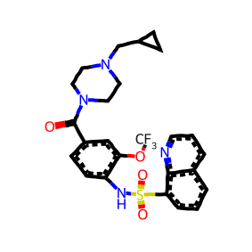 O=C(c1ccc(NS(=O)(=O)c2cccc3cccnc23)c(OC(F)(F)F)c1)N1CCN(CC2CC2)CC1